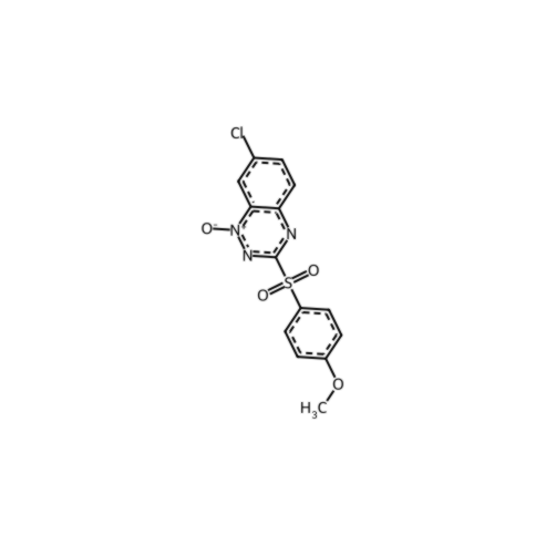 COc1ccc(S(=O)(=O)c2nc3ccc(Cl)cc3[n+]([O-])n2)cc1